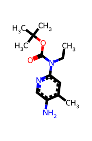 CCN(C(=O)OC(C)(C)C)c1cc(C)c(N)cn1